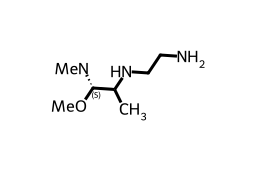 CN[C@@H](OC)C(C)NCCN